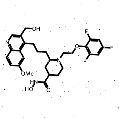 COc1ccc2ncc(CO)c(CCCC3CC(C(=O)NO)CCN3CCOc3c(F)cc(F)cc3F)c2c1